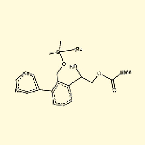 CNC(=O)OCC(O)c1cccc(-c2cccnc2)c1CO[Si](C)(C)C(C)(C)C